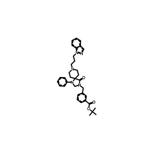 CC(C)(C)OC(=O)c1cccc(CN2CN(c3ccccc3)C3(CCN(CCCn4ncc5ccccc54)CC3)C2=O)c1